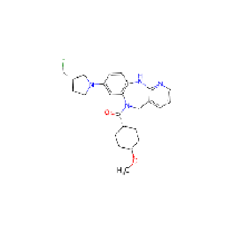 CO[C@H]1CC[C@H](C(=O)N2Cc3cccnc3Nc3ccc(N4CC[C@H](CF)C4)cc32)CC1